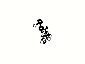 CCCc1nc(=O)c(C(=O)N2CCOCC2)c(CC)n1Cc1ccc(-c2ccccc2C#N)cc1